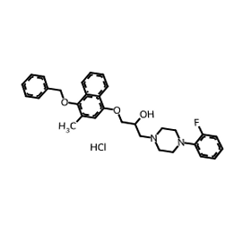 Cc1cc(OCC(O)CN2CCN(c3ccccc3F)CC2)c2ccccc2c1OCc1ccccc1.Cl